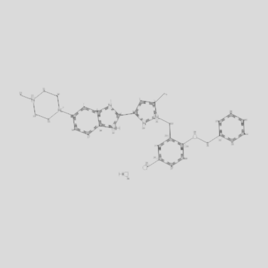 Cc1cc(-c2nc3cc(N4CCN(C)CC4)ccc3[nH]2)nn1Cc1cc(Cl)ccc1OCc1ccccc1.Cl